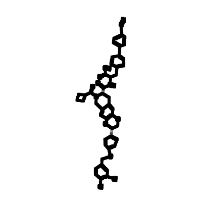 N#Cc1ccc(-c2ccc(CC(NC(=O)[C@@H]3Cc4cc5c(cc4CN3C(=O)C3CCC3)O[C@@H](c3ccc(OCc4ccc(Cl)c(Cl)c4)cc3)CO5)C(=O)O)cc2)cc1